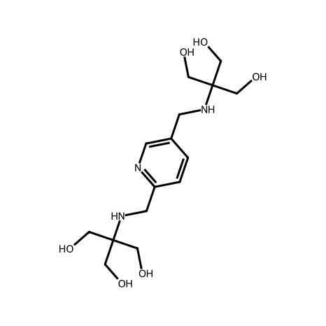 OCC(CO)(CO)NCc1ccc(CNC(CO)(CO)CO)nc1